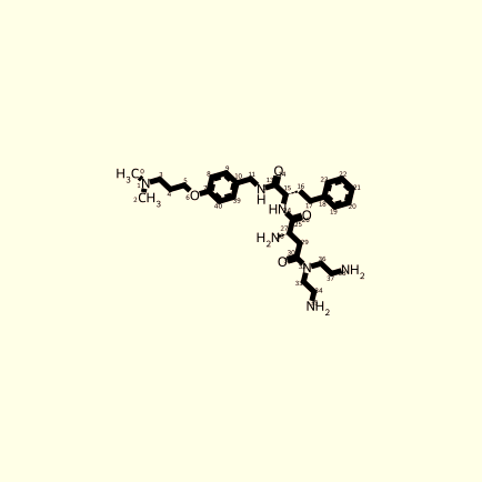 CN(C)CCCOc1ccc(CNC(=O)[C@H](CCc2ccccc2)NC(=O)[C@@H](N)CC(=O)N(CCN)CCN)cc1